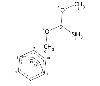 COC([SiH3])OC.c1cc2ccc1cc2